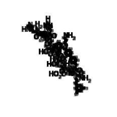 CCc1cc(OCCCCN)ccc1-c1ccc(C[C@H](NC(=O)[C@H](CC(=O)O)NC(=O)[C@H](C)NC(=O)[C@@H](NC(=O)[C@](C)(Cc2ccccc2F)NC(=O)[C@@H](NC(=O)CNC(=O)[C@H](Cc2nn[nH]n2)NC(=O)[C@H](C)NC(=O)[C@@H](N)Cc2cnc[nH]2)[C@@H](C)O)[C@@H](C)O)C(=O)N[C@@H](CCCc2cc(C)cc(C)c2)C(N)=O)cc1